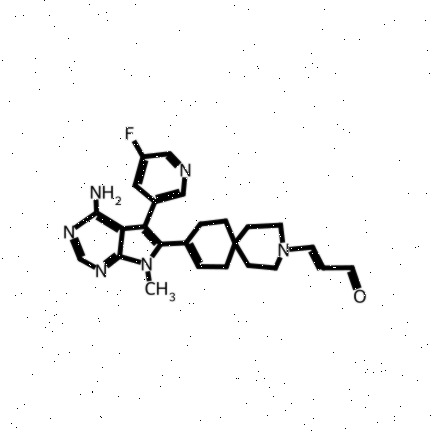 Cn1c(C2=CCC3(CC2)CCN(C=CC=O)CC3)c(-c2cncc(F)c2)c2c(N)ncnc21